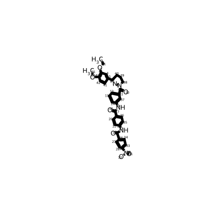 CCOc1cc(C2=NN(C(=O)c3cccc(NC(=O)c4ccc(NC(=O)c5ccc([N+](=O)[O-])cc5)cc4)c3)CCC2)ccc1OC